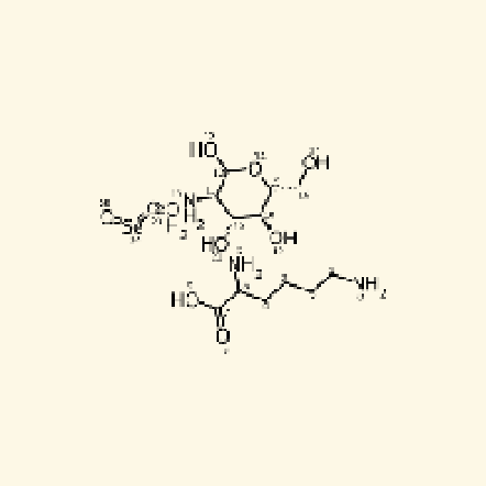 NCCCCC(N)C(=O)O.N[C@H]1C(O)O[C@H](CO)[C@@H](O)[C@@H]1O.O.O=[Se]=O